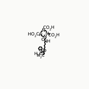 C=CC(OCCCCCNC(=O)CN1CCN(CC(=O)O)CCN(CC(=O)O)CCN(CC(=O)O)C1)=C(C)N1CCCCC1